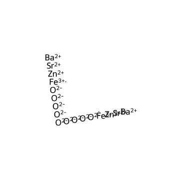 [Ba+2].[Ba+2].[Fe+3].[Fe+3].[O-2].[O-2].[O-2].[O-2].[O-2].[O-2].[O-2].[O-2].[O-2].[Sr+2].[Sr+2].[Zn+2].[Zn+2]